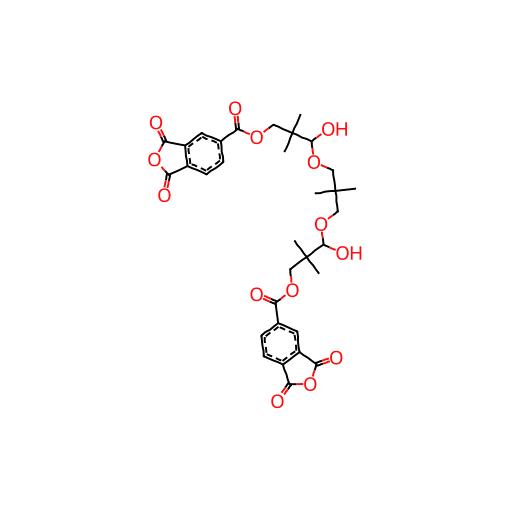 CC(C)(COC(O)C(C)(C)COC(=O)c1ccc2c(c1)C(=O)OC2=O)COC(O)C(C)(C)COC(=O)c1ccc2c(c1)C(=O)OC2=O